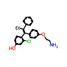 CCC(=C(c1ccc(OCCN)cc1)c1ccc(O)cc1Cl)c1ccccc1